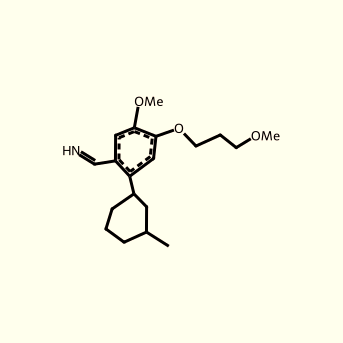 COCCCOc1cc(C2CCCC(C)C2)c(C=N)cc1OC